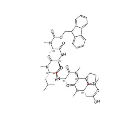 CC(C)C[C@H](NC(=O)[C@H](C)N(C)C(=O)OCC1c2ccccc2-c2ccccc21)C(=O)N(C)[C@@H](CC(C)C)C(=O)N[C@@H](C)C(=O)N(C)[C@H](C(=O)N(C)[C@@H](CC(=O)O)C(=O)N(C)C)C1CCCC1